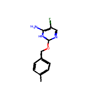 Cc1ccc(COC2N=CC(F)=C(N)N2)cc1